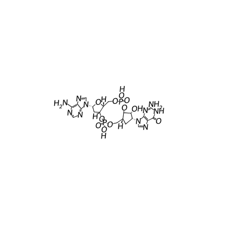 Nc1nc2c(ncn2[C@@H]2C[C@@H]3COP(=O)(O)O[C@@H]4C[C@H](n5cnc6c(N)ncnc65)O[C@@H]4COP(=O)(O)OC3[C@@H]2O)c(=O)[nH]1